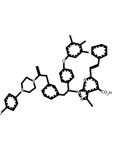 C=C(Cc1cccc(CC(c2ccc(Oc3cc(C)c(C)c(C)c3)cc2)n2nc(C)c3c(C(=O)O)cc(/C=C/c4ccccc4)nc32)c1)N1CCN(c2ccc(C(C)(C)C)cc2)CC1